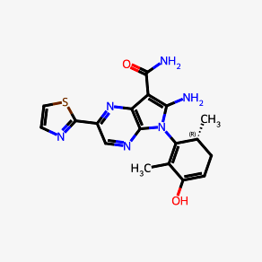 CC1=C(n2c(N)c(C(N)=O)c3nc(-c4nccs4)cnc32)[C@H](C)CC=C1O